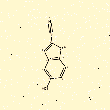 N#Cc1cc2cc(O)ccc2o1